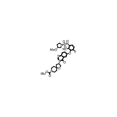 CO[C@H]1CCN(S(=O)(=O)Nc2ccc(F)c(Oc3ccc4ncn([C@H]5COC6(CCN(C(=O)OC(C)(C)C)CC6)C5)c(=O)c4c3)c2C#N)C1